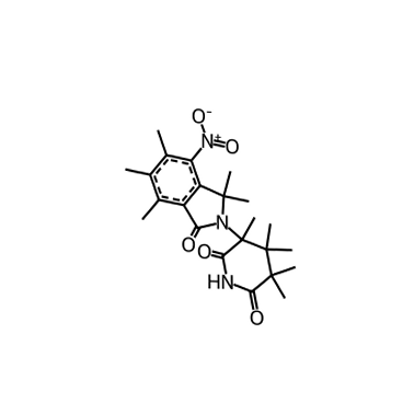 Cc1c(C)c2c(c([N+](=O)[O-])c1C)C(C)(C)N(C1(C)C(=O)NC(=O)C(C)(C)C1(C)C)C2=O